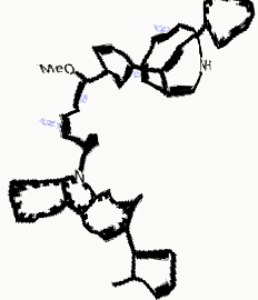 C=C(/C=C\C=C(/OC)C1C=CC(C2=CC3(c4ccccc4)/C=C\C=C/C2=CN3)=C1)n1c2ccccc2c2cc(C3=CC=CC3C)ccc21